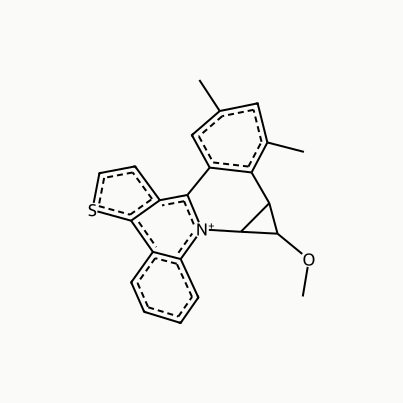 COC1C2c3c(C)cc(C)cc3-c3c4ccsc4c4ccccc4[n+]3C12